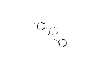 O=C1C(c2ccc(F)cc2)CCCN1Cc1ccccc1